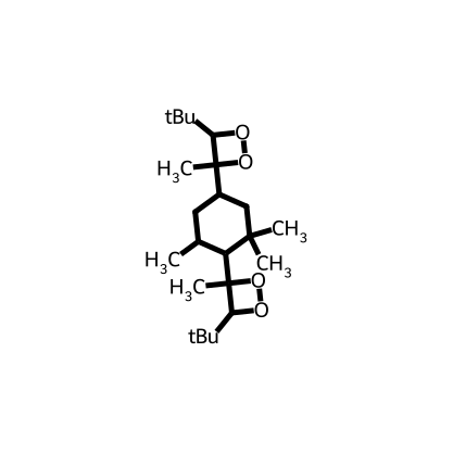 CC1CC(C2(C)OOC2C(C)(C)C)CC(C)(C)C1C1(C)OOC1C(C)(C)C